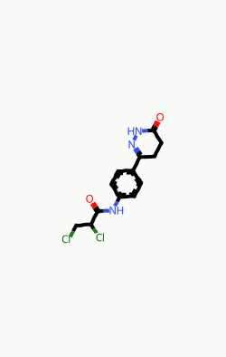 O=C1CCC(c2ccc(NC(=O)C(Cl)CCl)cc2)=NN1